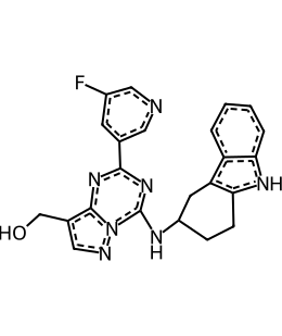 OCc1cnn2c(NC3CCc4[nH]c5ccccc5c4C3)nc(-c3cncc(F)c3)nc12